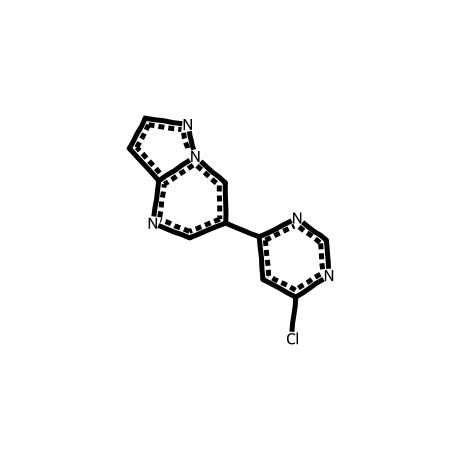 Clc1cc(-c2cnc3ccnn3c2)ncn1